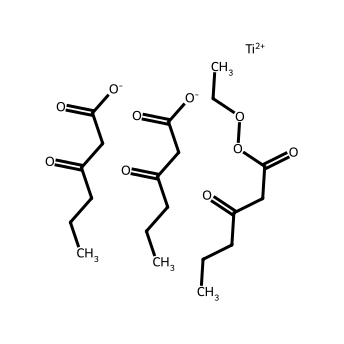 CCCC(=O)CC(=O)OOCC.CCCC(=O)CC(=O)[O-].CCCC(=O)CC(=O)[O-].[Ti+2]